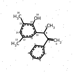 C=C(c1ccccc1)C(C)c1cc(C)cc(C)c1O